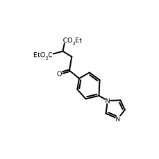 CCOC(=O)C(CC(=O)c1ccc(-n2ccnc2)cc1)C(=O)OCC